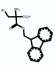 CC(C)CC(N)(C(=O)O)C(=O)OCC1c2ccccc2-c2ccccc21